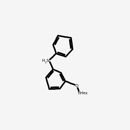 CCCCCCOc1cccc([SiH2]c2ccccc2)c1